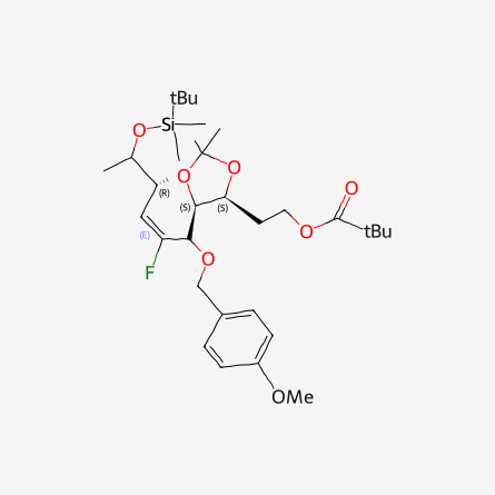 COc1ccc(COC(/C(F)=C\[C@@H](C)C(C)O[Si](C)(C)C(C)(C)C)[C@H]2OC(C)(C)O[C@H]2CCOC(=O)C(C)(C)C)cc1